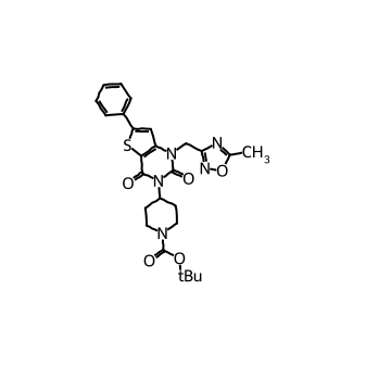 Cc1nc(Cn2c(=O)n(C3CCN(C(=O)OC(C)(C)C)CC3)c(=O)c3sc(-c4ccccc4)cc32)no1